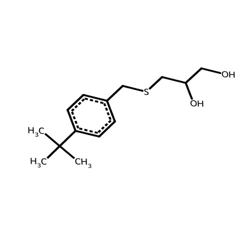 CC(C)(C)c1ccc(CSCC(O)CO)cc1